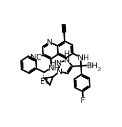 BC(Nc1cc(C#C)c2ncc(C#N)c(N[C@H](CC)c3ccccc3)c2c1)(C1=CN(C2CC2)NN1)c1ccc(F)cc1